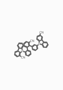 N#Cc1ccc2c(c1)c1ccccc1n2-c1cccc(-c2c(C#N)cccc2-c2ccccc2-n2c3ccccc3c3cccc(C#N)c32)c1